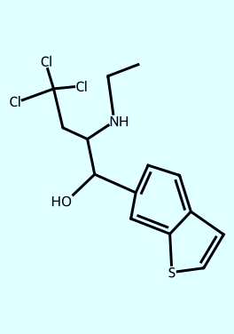 CCNC(CC(Cl)(Cl)Cl)C(O)c1ccc2ccsc2c1